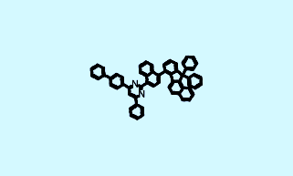 c1ccc(-c2ccc(-c3cc(-c4ccccc4)nc(-c4ccc(-c5cccc6c5-c5ccc7ccccc7c5C6(c5ccccc5)c5ccccc5)c5ccccc45)n3)cc2)cc1